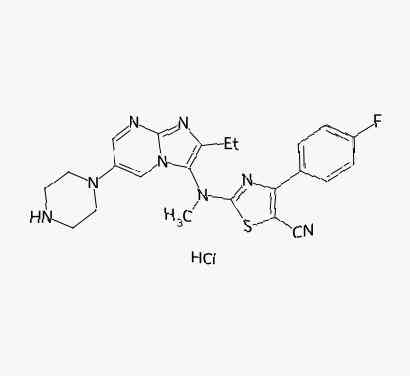 CCc1nc2ncc(N3CCNCC3)cn2c1N(C)c1nc(-c2ccc(F)cc2)c(C#N)s1.Cl